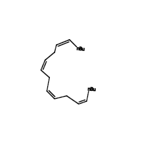 [CH2]CCC/C=C\C/C=C\C/C=C\C/C=C\CCCC